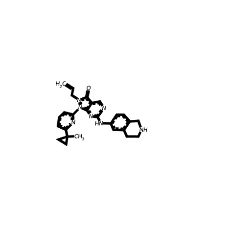 C=CCn1c(=O)c2cnc(Nc3ccc4c(c3)CCNC4)nc2n1-c1cccc(C2(C)CC2)n1